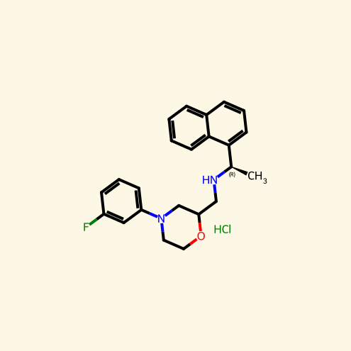 C[C@@H](NCC1CN(c2cccc(F)c2)CCO1)c1cccc2ccccc12.Cl